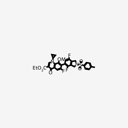 CCOC(=O)c1cn(C2CC2)c2c(OC)c(-c3cc(F)c4c(c3F)CN(S(=O)(=O)c3ccc(C)cc3)C4)c(F)cc2c1=O